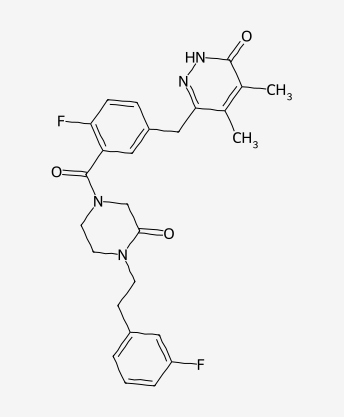 Cc1c(Cc2ccc(F)c(C(=O)N3CCN(CCc4cccc(F)c4)C(=O)C3)c2)n[nH]c(=O)c1C